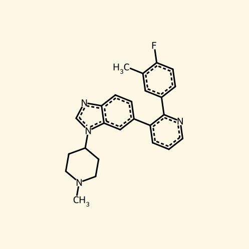 Cc1cc(-c2ncccc2-c2ccc3ncn(C4CCN(C)CC4)c3c2)ccc1F